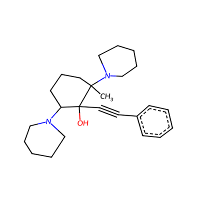 CC1(N2CCCCC2)CCCC(N2CCCCC2)C1(O)C#Cc1ccccc1